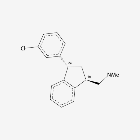 CNC[C@@H]1C[C@@H](c2cccc(Cl)c2)c2ccccc21